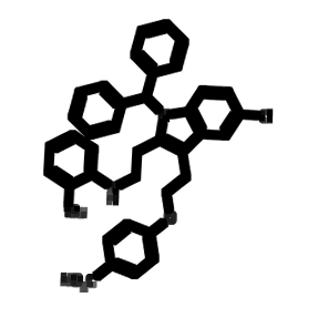 CC(C)(C)c1ccccc1NCCc1c(CCOc2ccc(C(=O)O)cc2)c2cc(Cl)ccc2n1C(c1ccccc1)c1ccccc1